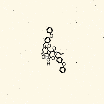 CCCN(Cc1ccc(Oc2ccccc2)cc1)C(=O)C1C(CO)C(C(=O)O)C1C(=O)N(CCC)Cc1ccc(Oc2ccccc2)cc1